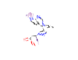 CN1C=Nc2c(ccn2PI)C1c1cnn(C(I)CC(=O)O)c1